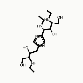 CCN[C@@H](CO)[C@@H](O)[C@@H](NCC)c1cnc(C[C@H](O)[C@H](CO)NCC)cn1